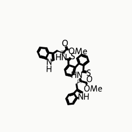 COC(=O)[C@H](Cc1c[nH]c2ccccc12)NC(=S)c1ccccc1-c1ccccc1C(=S)N[C@@H](Cc1c[nH]c2ccccc12)C(=O)OC